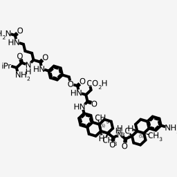 CC(C)C(N)C(=O)NC(CCCNC(N)=O)C(=O)Nc1ccc(COC(=O)NC(CC(=O)O)C(=O)Nc2ccc3c(c2)[C@@]2(C)CCC[C@](C)(C(=O)NC(=O)[C@@]4(C)CCC[C@]5(C)c6cc(N)ccc6CC[C@@H]45)[C@@H]2CC3)cc1